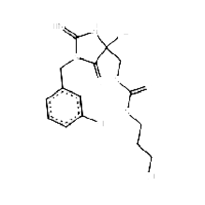 CCCCNC(=O)NCC1(C)NC(=N)N(Cc2cccc(Cl)c2)C1=O